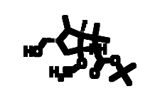 CC1[C@@H](CO)C[C@@](NC(=O)OC(C)(C)C)(O[SiH3])[C@]1(C)C(C)(C)C